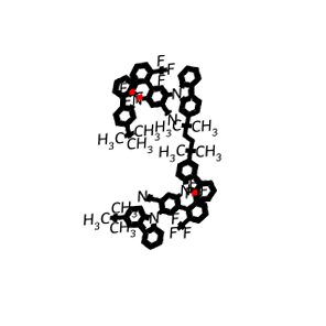 CC(C)(C)c1ccc2c(c1)c1ccccc1n2-c1cc(-c2c(C(F)(F)F)cccc2C(F)(F)F)c(-n2c3ccccc3c3cc(C(C)(C)CCC(C)(C)c4ccc5c6ccccc6n(-c6cc(-c7c(C(F)(F)F)cccc7C(F)(F)F)c(-n7c8ccccc8c8ccc(C(C)(C)C)cc87)cc6C#N)c5c4)ccc32)cc1C#N